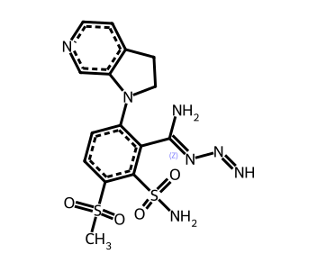 CS(=O)(=O)c1ccc(N2CCc3ccncc32)c(/C(N)=N/N=N)c1S(N)(=O)=O